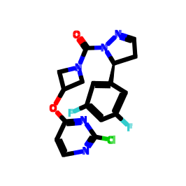 O=C(N1CC(Oc2ccnc(Cl)n2)C1)N1N=CC[C@H]1c1cc(F)cc(F)c1